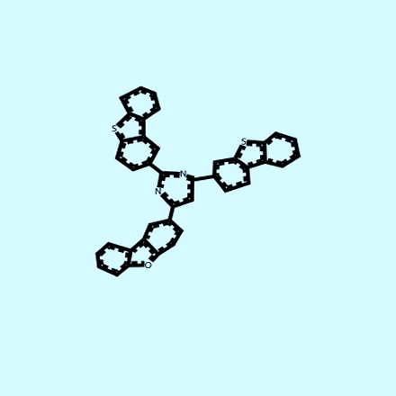 c1ccc2c(c1)oc1ccc(-c3cc(-c4ccc5c(c4)sc4ccccc45)nc(-c4ccc5sc6ccccc6c5c4)n3)cc12